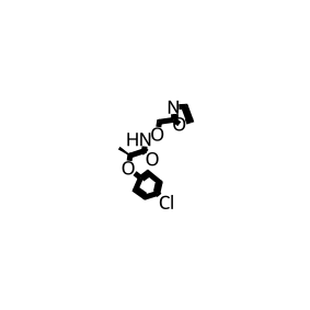 C[C@H](Oc1ccc(Cl)cc1)C(=O)NOCc1ncco1